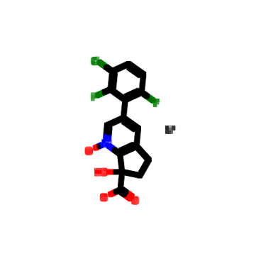 O=C([O-])C1(O)CCc2cc(-c3c(F)ccc(Cl)c3F)c[n+]([O-])c21.[Li+]